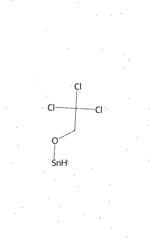 ClC(Cl)(Cl)C[O][SnH]